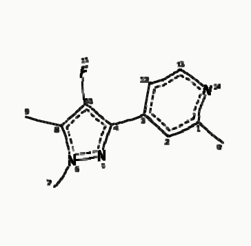 Cc1cc(-c2nn(C)c(C)c2F)ccn1